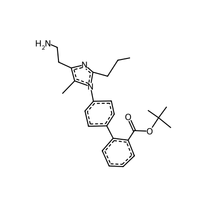 CCCc1nc(CCN)c(C)n1-c1ccc(-c2ccccc2C(=O)OC(C)(C)C)cc1